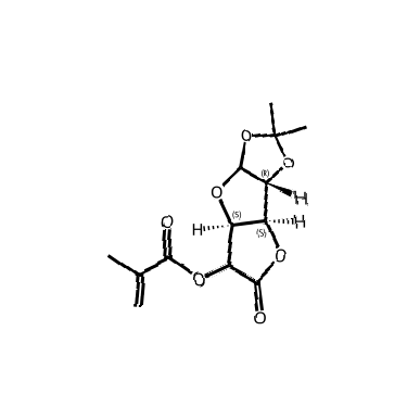 C=C(C)C(=O)OC1C(=O)O[C@H]2[C@@H]1OC1OC(C)(C)O[C@@H]12